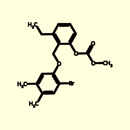 CCc1cccc(OC(=O)OC)c1COc1cc(C)c(C)cc1Br